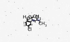 C=C(C)/C(=C\C(Cl)=C/C)c1cc(Cl)ccc1C